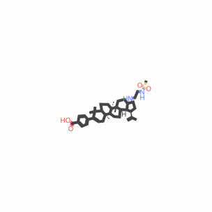 C=C(C)[C@@H]1CC[C@]2(NCCNS(C)(=O)=O)CC[C@]3(C)[C@H](CCC4[C@@]5(C)CC=C(c6ccc(C(=O)O)cc6)C(C)(C)C5CC[C@]43C)C12